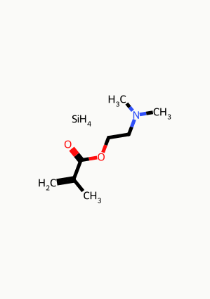 C=C(C)C(=O)OCCN(C)C.[SiH4]